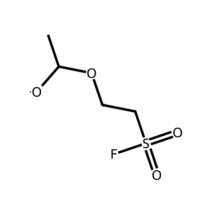 CC([O])OCCS(=O)(=O)F